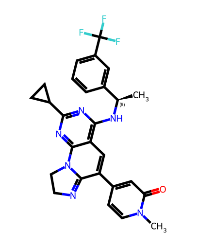 C[C@@H](Nc1nc(C2CC2)nc2c1C=C(c1ccn(C)c(=O)c1)C1=NCCN12)c1cccc(C(F)(F)F)c1